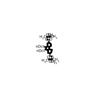 CCCCCCCCc1c(CCCCCCCC)c2cc(B3OC(C)(C)C(C)(C)O3)ccc2c2ccc(B3OC(C)(C)C(C)(C)O3)cc12